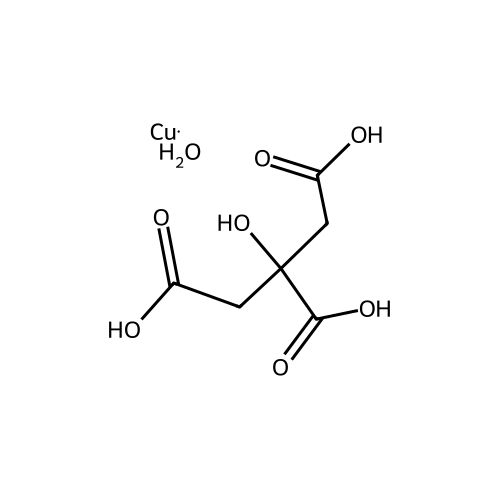 O.O=C(O)CC(O)(CC(=O)O)C(=O)O.[Cu]